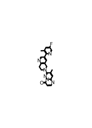 Cc1cc(F)cnc1-c1cnc2c(c1)CN(c1nn3c(=O)ccnc3cc1C)CC2